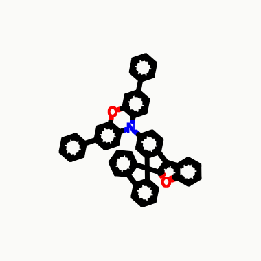 c1ccc(-c2ccc3c(c2)Oc2cc(-c4ccccc4)ccc2N3c2ccc3c(c2)C2(c4ccccc4-c4ccccc42)c2oc4ccccc4c2-3)cc1